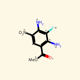 COC(=O)c1cc([N+](=O)[O-])c(N)c(F)c1N